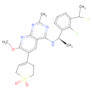 COc1nc2nc(C)nc(N[C@H](C)c3cccc(C(C)F)c3F)c2cc1C1=CCS(=O)(=O)CC1